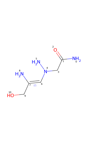 NC(=O)CN(N)/C=C(\N)CO